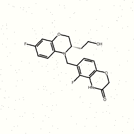 O=C1COc2ccc(CN3c4ccc(F)cc4OC[C@@H]3CCO)c(F)c2N1